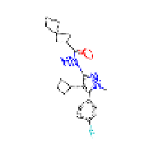 Cn1nc(NC(=O)C2CC3(CCC3)C2)c(C2CCC2)c1-c1ccc(F)cc1